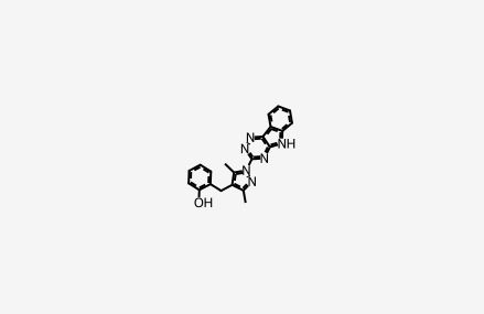 Cc1nn(-c2nnc3c(n2)[nH]c2ccccc23)c(C)c1Cc1ccccc1O